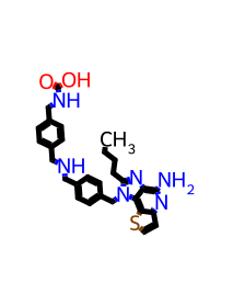 CCCCc1nc2c(N)nc3ccsc3c2n1Cc1ccc(CNCc2ccc(CNC(=O)O)cc2)cc1